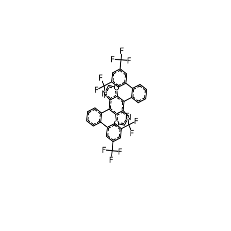 FC(F)(F)c1cc(-c2ccccc2-c2c3ncoc3c(-c3ccccc3-c3cc(C(F)(F)F)cc(C(F)(F)F)c3)c3ncoc23)cc(C(F)(F)F)c1